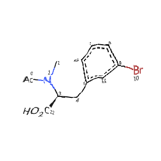 CC(=O)N(C)[C@@H](Cc1cccc(Br)c1)C(=O)O